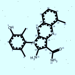 Cc1ccc(O)c(C)c1-n1c(N)c(C(N)=O)c2nc3c(C)cccc3nc21